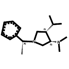 CC(C)[C@H]1CN([C@H](C)c2ccccc2)C[C@H]1N(C)C